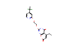 CCc1cc(=O)oc2nc(OCCOc3cc(C(C)(F)F)ccn3)[nH]c(=O)c12